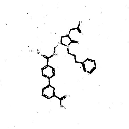 Cl.N=C(N)c1cccc(-c2ccc(C(=O)NC[C@@H]3C[C@@H](CC(=O)O)C(=O)N3CCCc3ccccc3)cc2)c1.O